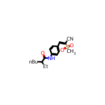 CCCCC(CC)C(=O)Nc1ccc(/C=C(/C#N)S(C)(=O)=O)cc1